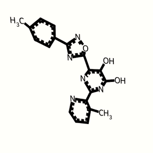 Cc1ccc(-c2noc(-c3nc(-c4ncccc4C)nc(O)c3O)n2)cc1